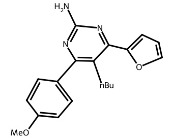 CCCCc1c(-c2ccc(OC)cc2)nc(N)nc1-c1ccco1